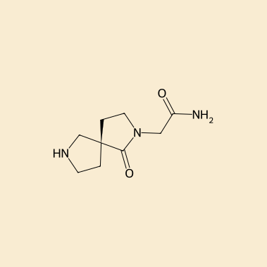 NC(=O)CN1CC[C@]2(CCNC2)C1=O